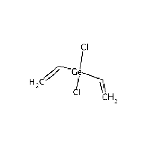 C=[CH][Ge]([Cl])([Cl])[CH]=C